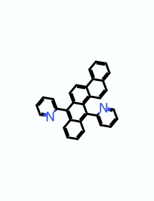 c1ccc(-c2c3ccccc3c(-c3ccccn3)c3c2ccc2c4ccccc4ccc23)nc1